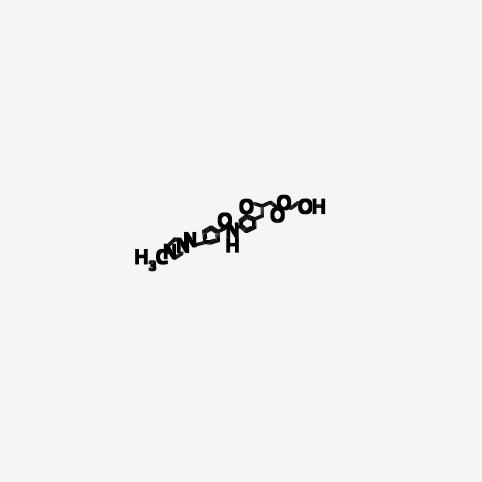 CN1CCN(/N=C/c2ccc(C(=O)Nc3ccc4c(c3)OCC(CC(=O)OCCO)C4)cc2)CC1